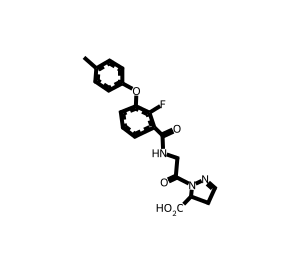 Cc1ccc(Oc2cccc(C(=O)NCC(=O)N3N=CCC3C(=O)O)c2F)cc1